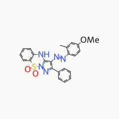 COc1ccc(/N=N/c2c(-c3ccccc3)nn3c2Nc2ccccc2S3(=O)=O)c(C)c1